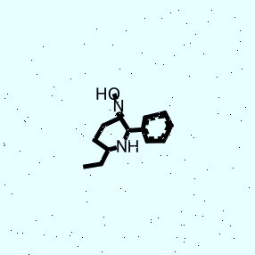 CCC1CC/C(=N\O)C(c2ccccc2)N1